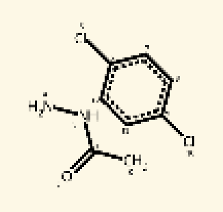 CC(=O)NN.Clc1ccc(Cl)cc1